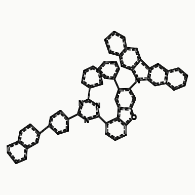 c1ccc(-c2nc(-c3ccc(-c4ccc5ccccc5c4)cc3)nc(-c3cccc4oc5cc(-n6c7cc8ccccc8cc7c7cc8ccccc8cc76)c(-c6ccccc6)cc5c34)n2)cc1